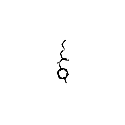 CCSCC(=O)Nc1ccc(F)cc1